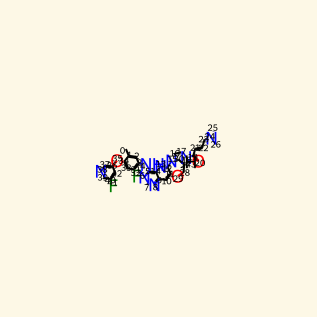 Cc1cc(Nc2ncnc3cc4c(nc23)N2CCN(C(=O)/C=C/CN(C)C)[C@H](CO4)C2)c(F)cc1Oc1cncc(F)c1